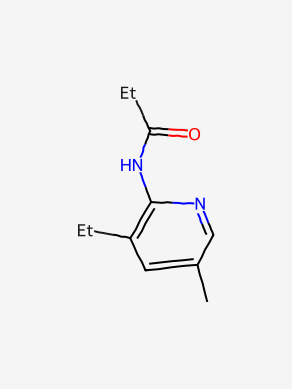 CCC(=O)Nc1ncc(C)cc1CC